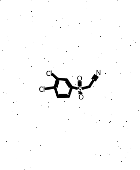 N#CCS(=O)(=O)c1ccc(Cl)c(Cl)c1